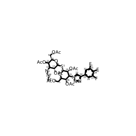 CC(=O)OCC1O[C@@H](SC2O[C@H](COC(C)=O)C(OC(C)=O)C(N=[N+]=[N-])[C@H]2OC(C)=O)[C@@H](OC(C)=O)C(n2cc(-c3cc(F)c(F)c(F)c3)nn2)[C@H]1OC(C)=O